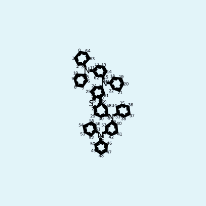 c1ccc(N(c2ccccc2)c2cccc(N(c3ccccc3)c3ccc4sc5ccc(N(c6ccccc6)c6cccc(N(c7ccccc7)c7ccccc7)c6)cc5c4c3)c2)cc1